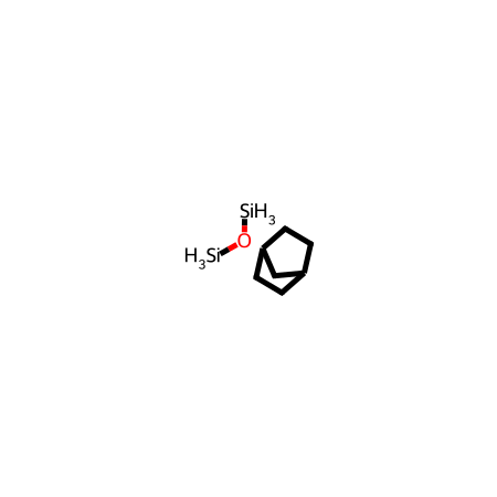 C1CC2CCC1C2.[SiH3]O[SiH3]